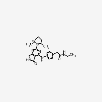 CCNC(=O)Cc1ccc(Nc2nc(N3C(C)CCC[C@@H]3C)nc3c2C(=O)NC3)cc1